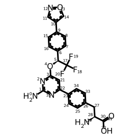 Nc1nc(O[C@@H](c2ccc(-c3cnoc3)cc2)C(F)(F)F)cc(-c2ccc(C[C@H](N)C(=O)O)cc2)n1